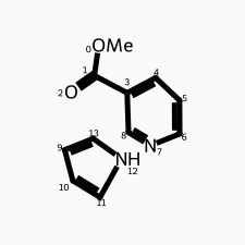 COC(=O)c1cccnc1.c1cc[nH]c1